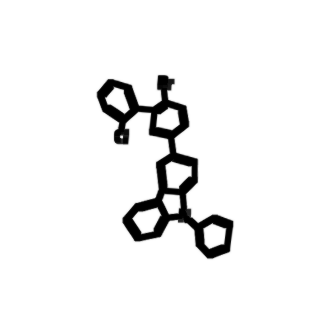 Clc1ccccc1-c1cc(-c2ccc3c(c2)c2ccccc2n3-c2ccccc2)ccc1Br